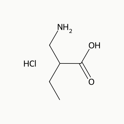 CCC(CN)C(=O)O.Cl